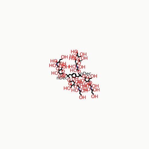 CCCCCCCCCCC(CO[C@@H]1OC(CO)[C@@H](O[C@@H](O)/C(O)=C(/O)[C@H](O)CCO)C(O)C1O)(CO[C@@H]1OC(CO)[C@@H](O[C@@H](O)/C(O)=C(\O)[C@H](O)CCO)C(O)C1O)Cc1ccc(C[C@](CCCCCCCCCC)(CO[C@@H]2OC(CO)[C@@H](O[C@@H](O)/C(O)=C(\O)[C@H](O)CCO)C(O)C2O)CO[C@H](O)/C(O)=C(\O)[C@@H](CCO)O[C@H](CO)OC(CO)[C@@H](O)CO)cc1